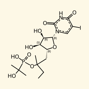 CCC(C)(C[C@H]1O[C@@H](n2cc(I)c(=O)[nH]c2=O)[C@H](O)[C@@H]1O)OP(=O)(O)C(C)(C)O